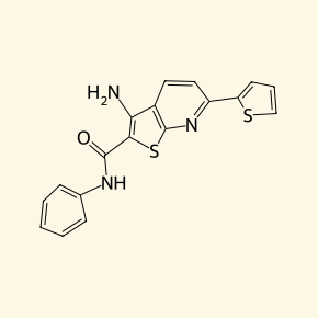 Nc1c(C(=O)Nc2ccccc2)sc2nc(-c3cccs3)ccc12